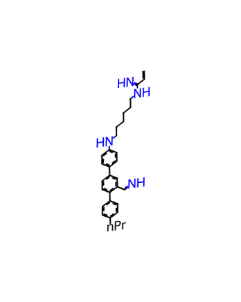 C=CC(=N)NCCCCCCNc1ccc(-c2ccc(-c3ccc(CCC)cc3)c(C=N)c2)cc1